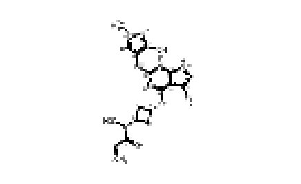 C=CC(=O)N(C)[C@H]1C[C@H](Oc2nc(Nc3cn(C)nc3C#N)nc3[nH]cc(Cl)c23)C1